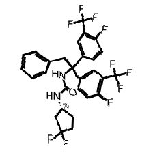 O=C(N[C@@H]1CCC(F)(F)C1)NC(Cc1ccccc1)(c1ccc(F)c(C(F)(F)F)c1)c1ccc(F)c(C(F)(F)F)c1